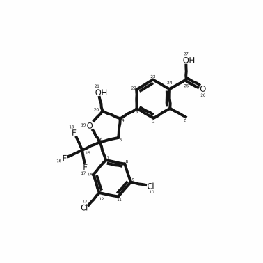 Cc1cc(C2CC(c3cc(Cl)cc(Cl)c3)(C(F)(F)F)OC2O)ccc1C(=O)O